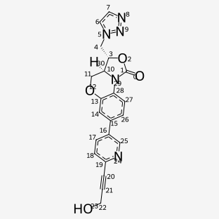 O=C1O[C@@H](Cn2ccnn2)[C@@H]2COc3cc(-c4ccc(C#CCO)nc4)ccc3N12